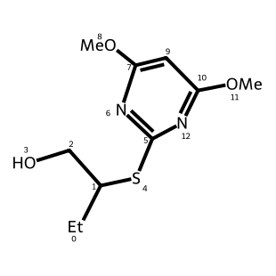 CCC(CO)Sc1nc(OC)cc(OC)n1